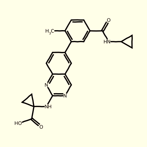 Cc1ccc(C(=O)NC2CC2)cc1-c1ccc2nc(NC3(C(=O)O)CC3)ncc2c1